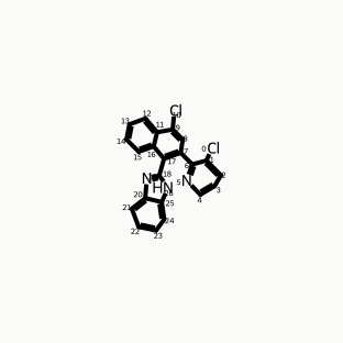 Clc1cccnc1-c1cc(Cl)c2ccccc2c1-c1nc2ccccc2[nH]1